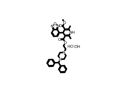 COC(=O)C1=C(C)NC(C)=C(C(=O)OCCN2CCN(C(c3ccccc3)c3ccccc3)CC2)C1c1cccc2nonc12.Cl.Cl